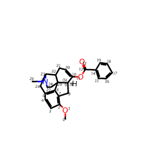 COc1ccc2c3c1C[C@@H]1C(OC(=O)c4ccccc4)=CCC4C(C2)N(C)CCC341